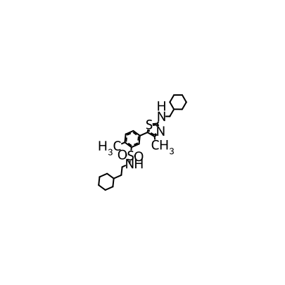 Cc1ccc(-c2sc(NCC3CCCCC3)nc2C)cc1S(=O)(=O)NCCC1CCCCC1